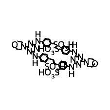 O=S(=O)(O)c1ccc(Nc2nc(Nc3ccc(C=Cc4ccc(Nc5nc(Nc6ccc(S(=O)(=O)O)cc6)nc(N6CCOCC6)n5)cc4S(=O)(=O)O)c(S(=O)(=O)O)c3)nc(N3CCOCC3)n2)cc1